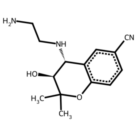 CC1(C)Oc2ccc(C#N)cc2[C@@H](NCCN)[C@@H]1O